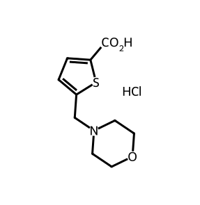 Cl.O=C(O)c1ccc(CN2CCOCC2)s1